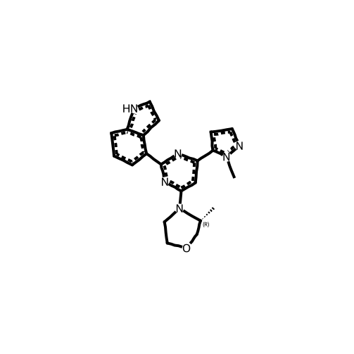 C[C@@H]1COCCN1c1cc(-c2ccnn2C)nc(-c2cccc3[nH]ccc23)n1